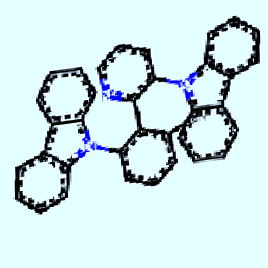 N#Cc1cccc(-n2c3ccccc3c3ccccc32)c1-c1ncccc1-n1c2ccccc2c2ccccc21